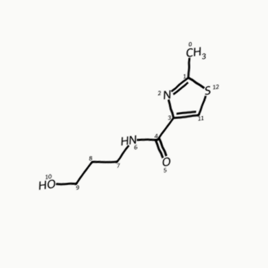 Cc1nc(C(=O)NCCCO)cs1